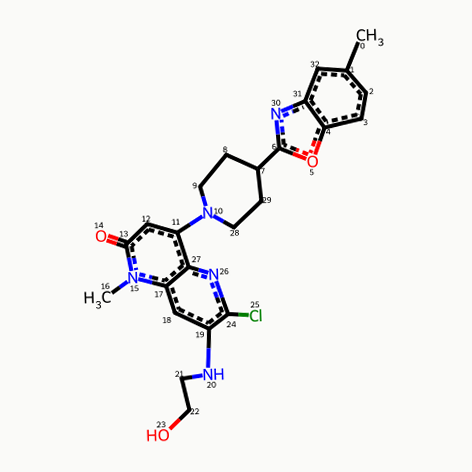 Cc1ccc2oc(C3CCN(c4cc(=O)n(C)c5cc(NCCO)c(Cl)nc45)CC3)nc2c1